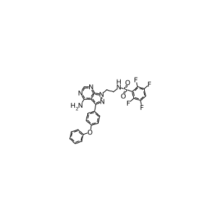 Nc1ncnc2c1c(-c1ccc(Oc3ccccc3)cc1)nn2CCNS(=O)(=O)c1c(F)c(F)cc(F)c1F